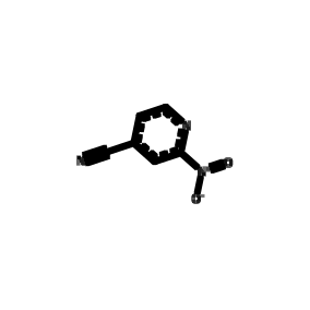 N#Cc1ccnc([N+](=O)[O-])c1